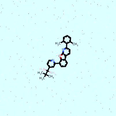 BC(B)(c1ccnc(-c2cccc3c2oc2nc(-c4c(C)cccc4C)ccc23)c1)C(C)(C)C